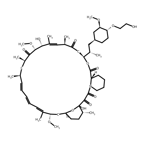 CO[C@H]1C[C@@H]2CC[C@@H](C)C(O)(O2)C(=O)C(=O)N2CCCC[C@H]2C(=O)O[C@H]([C@@H](C)C[C@@H]2CC[C@@H](OCCO)[C@H](OC)C2)CC(=O)[C@H](C)/C=C(\C)[C@@H](O)[C@@H](OC)C(=O)[C@H](C)C[C@H](C)/C=C/C=C/C=C/1C